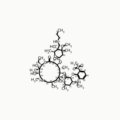 CCCNC[C@]1(O)[C@H](C)O[C@@H](O[C@H]2[C@H](C)[C@@H](O[C@@H]3O[C@H](C)C[C@H](NC)[C@H]3Oc3ccccc3S(C)(=O)=O)[C@](C)(O)C[C@@H](C)CN[C@H](C)[C@@H](O)[C@](C)(O)[C@@H](CC)OC(=O)[C@@H]2C)C[C@@]1(C)OC